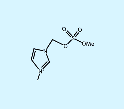 COS(=O)(=O)OCn1cc[n+](C)c1